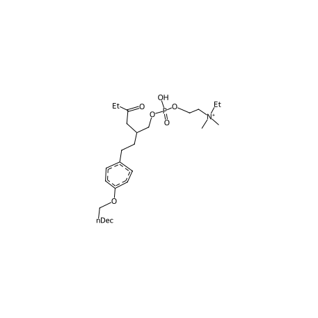 CCCCCCCCCCCOc1ccc(CCC(COP(=O)(O)OCC[N+](C)(C)CC)CC(=O)CC)cc1